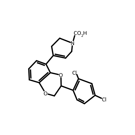 O=C(O)N1CC=C(c2cccc3c2OC(c2ccc(Cl)cc2Cl)CO3)CC1